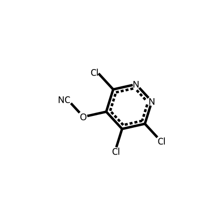 N#COc1c(Cl)nnc(Cl)c1Cl